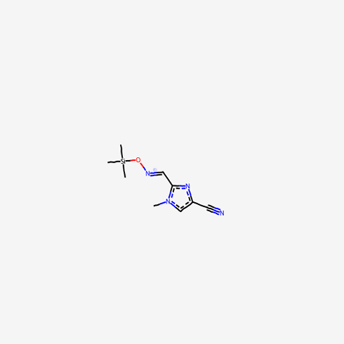 Cn1cc(C#N)nc1/C=N/O[Si](C)(C)C